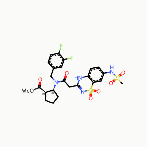 COC(=O)[C@@H]1CCC[C@@H]1N(Cc1ccc(F)c(F)c1)C(=O)CC1=NS(=O)(=O)c2cc(NS(C)(=O)=O)ccc2N1